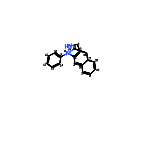 C1=CC2=CC3=C4CN[N+]3(c3ccccc3)CC4C2C=C1